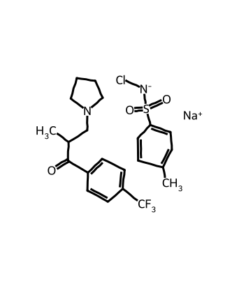 CC(CN1CCCC1)C(=O)c1ccc(C(F)(F)F)cc1.Cc1ccc(S(=O)(=O)[N-]Cl)cc1.[Na+]